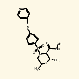 C[C@@H]1O[C@@H](C)CN(S(=O)(=O)c2ccc(OCc3ccncc3)cc2)[C@H]1C(=O)NO